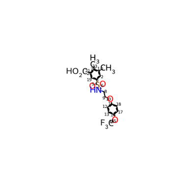 Cc1cc(S(=O)(=O)NCCOc2ccc(OC(F)(F)F)cc2)cc(C(=O)O)c1C